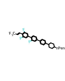 CCCCCC1CCC(c2ccc(-c3ccc(-c4cc(F)c(/C=C/C(F)(F)F)c(F)c4)c(F)c3)cc2)CC1